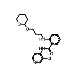 O=C(Nc1ccncc1Cl)c1ccccc1NCCCOC1CCCCO1